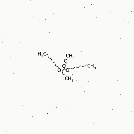 CCCCCCCCOC(CCC)=C(OCCCCCCCC)OCOCC